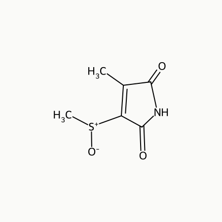 CC1=C([S+](C)[O-])C(=O)NC1=O